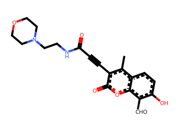 Cc1c(C#CC(=O)NCCN2CCOCC2)c(=O)oc2c(C=O)c(O)ccc12